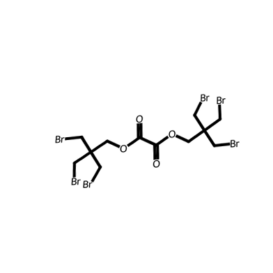 O=C(OCC(CBr)(CBr)CBr)C(=O)OCC(CBr)(CBr)CBr